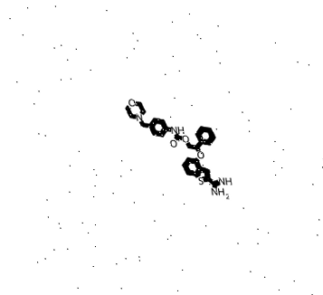 N=C(N)c1cc2c(OC(COC(=O)Nc3ccc(CN4CCOCC4)cc3)c3ccccc3)cccc2s1